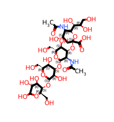 CC(=O)N[C@H]1[C@H](O[C@H]2[C@@H](O)[C@@H](CO)O[C@@H](O[C@H]3[C@H](O)[C@@H](O)C(O)O[C@@H]3CO)[C@@H]2O)O[C@H](CO)[C@@H](O)[C@@H]1O[C@]1(C(=O)O)C[C@H](O)[C@@H](NC(C)=O)[C@H]([C@H](O)[C@H](O)CO)O1